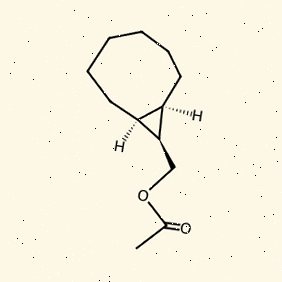 CC(=O)OC[C@@H]1[C@@H]2CCCCCC[C@@H]21